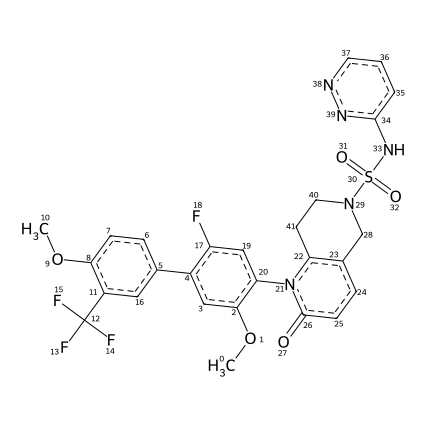 COc1cc(-c2ccc(OC)c(C(F)(F)F)c2)c(F)cc1-n1c2c(ccc1=O)CN(S(=O)(=O)Nc1cccnn1)CC2